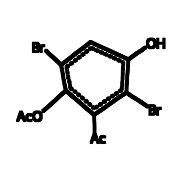 CC(=O)Oc1c(Br)cc(O)c(Br)c1C(C)=O